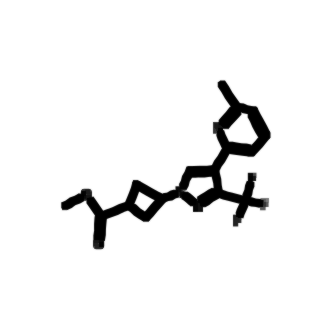 COC(=O)C1CC(n2cc(-c3cccc(C)n3)c(C(F)(F)F)n2)C1